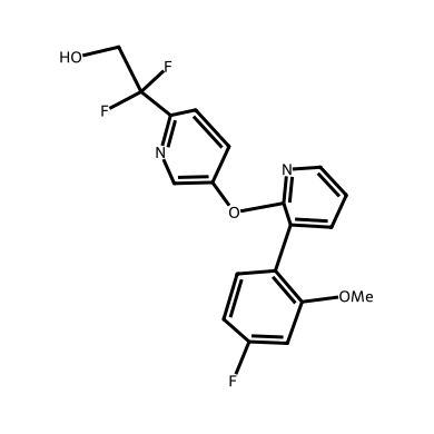 COc1cc(F)ccc1-c1cccnc1Oc1ccc(C(F)(F)CO)nc1